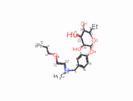 CCC1OC(Oc2ccc(CN(C)CCOCCC(C)C)cc2)C(O)C(O)C1O